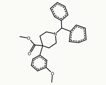 COC(=O)C1(c2cccc(OC)c2)CCN(C(c2ccccc2)c2ccccc2)CC1